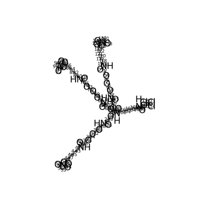 O=C(CCOCCOCCOCCNC(=O)CCOCC(COCCC(=O)NCCOCCOCCOCCC(=O)NCCCCCCCC(=O)ON1C(=O)CCC1=O)(COCCC(=O)NCCOCCOCCOCCC(=O)NCCCCCCCC(=O)ON1C(=O)CCC1=O)NC(=O)CCCCCCCNC(=O)OCC(Cl)(Cl)Cl)NCCCCCCCC(=O)ON1C(=O)CCC1=O